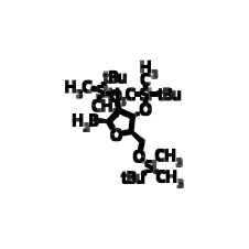 B[C@@H]1O[C@H](CO[Si](C)(C)C(C)(C)C)[C@@H](O[Si](C)(C)C(C)(C)C)C1O[Si](C)(C)C(C)(C)C